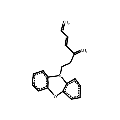 C=CC=CC(=C)CCN1c2ccccc2Oc2ccccc21